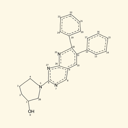 OC1CCCN(c2ncc3cc(-c4ccccc4)c(-c4cc[c]cc4)nc3n2)C1